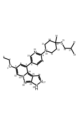 CCOc1cc(-c2ccc(N3CCC(C)(SCC(C)C)CC3)nc2)c2c3cn[nH]c3nn2c1